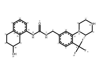 O=C(NCc1ccc(C(F)(F)F)c(N2CCNCC2)c1)Nc1cccc2c1CC(O)CC2